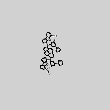 Cc1cccc2c1oc1c(N(c3cc(F)cc(-c4ccccc4)c3)c3ccc4ccc5c(N(c6cc(F)cc(-c7ccccc7)c6)c6cccc7c6oc6c(C)cccc67)ccc6ccc3c4c65)cccc12